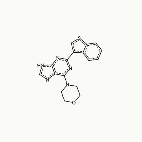 c1ccc2c(-c3nc(N4CCOCC4)c4nc[nH]c4n3)csc2c1